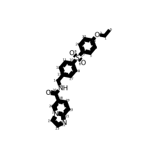 CCOc1ccc(S(=O)(=O)c2ccc(CNC(=O)c3ccc4nccn4c3)cc2)cc1